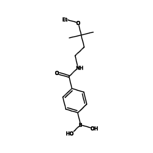 CCOC(C)(C)CCNC(=O)c1ccc(B(O)O)cc1